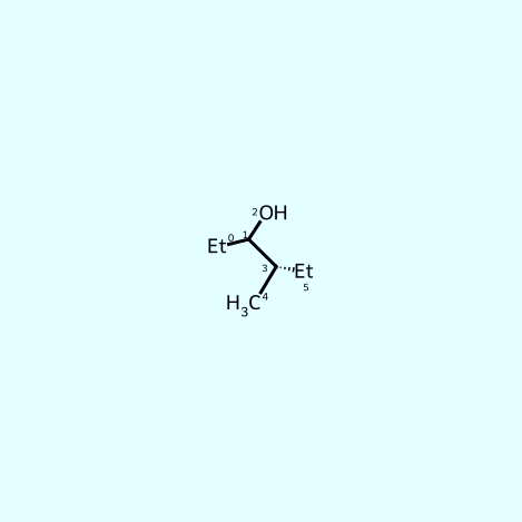 CCC(O)[C@@H](C)CC